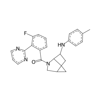 Cc1ccc(NC2CC34CC3CN(C(=O)c3cccc(F)c3-c3ncccn3)C24)cc1